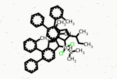 CCC(C)C1=Cc2c(ccc(-c3ccccc3)c2-c2ccccc2C)[CH]1[Zr]([Cl])([Cl])([CH]1C(C(C)CC)=Cc2c1ccc(-c1ccccc1)c2-c1ccccc1C)[SiH](C)C